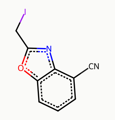 N#Cc1cccc2oc(CI)nc12